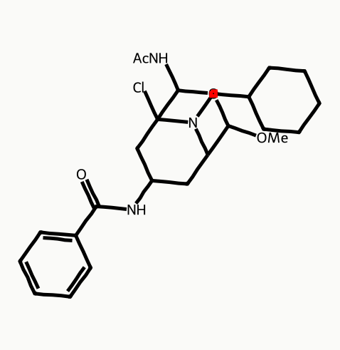 COC1OC(NC(C)=O)C2(Cl)CC(NC(=O)c3ccccc3)CC1N2CC1CCCCC1